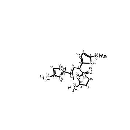 CNc1cnc(C(CNc2nc(C)c[nH]2)P2(=O)CC[C@@H](C)O2)s1